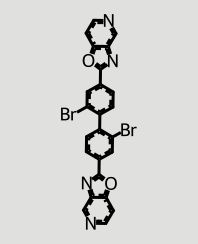 Brc1cc(-c2nc3cnccc3o2)ccc1-c1ccc(-c2nc3cnccc3o2)cc1Br